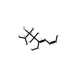 C/C=C\C=C(/CC)C(C)(C)C(C)(F)C(C)C